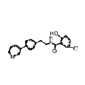 O=C(NCCc1ccc(-c2cccnc2)cc1)c1cc(Cl)ccc1O